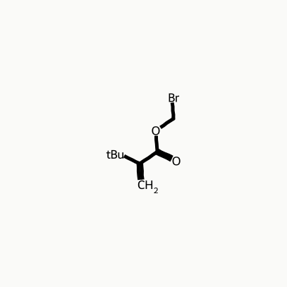 C=C(C(=O)OCBr)C(C)(C)C